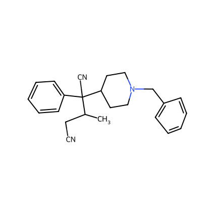 CC(CC#N)C(C#N)(c1ccccc1)C1CCN(Cc2ccccc2)CC1